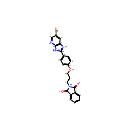 O=C1c2ccccc2C(=O)N1CCCOc1ccc(-c2nc3cc(Br)cnc3[nH]2)cc1